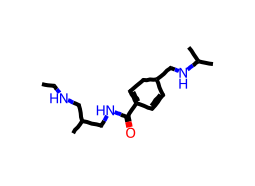 CCNCC(C)CNC(=O)C1=CCC(CNC(C)C)C=C1